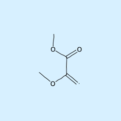 [CH]=C(OC)C(=O)OC